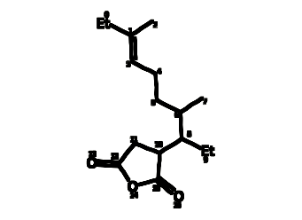 CC/C(C)=C/CCC(C)C(CC)C1CC(=O)OC1=O